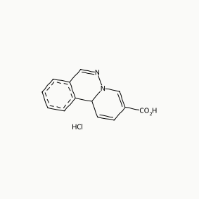 Cl.O=C(O)C1=CN2N=Cc3ccccc3C2C=C1